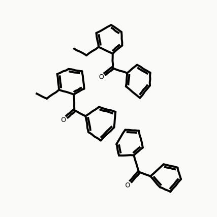 CCc1ccccc1C(=O)c1ccccc1.CCc1ccccc1C(=O)c1ccccc1.O=C(c1ccccc1)c1ccccc1